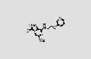 CC(C)(C)c1cn2c(=O)[nH]nc2c(NCCOc2cccnc2)n1